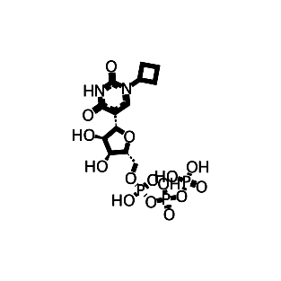 O=c1[nH]c(=O)n(C2CCC2)cc1[C@@H]1O[C@H](COP(=O)(O)OP(=O)(O)OP(=O)(O)O)[C@@H](O)[C@H]1O